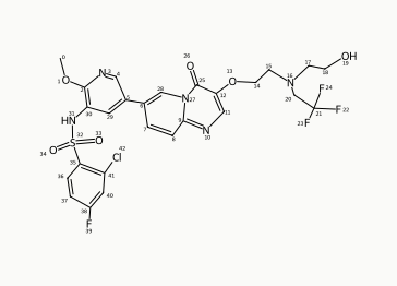 COc1ncc(-c2ccc3ncc(OCCN(CCO)CC(F)(F)F)c(=O)n3c2)cc1NS(=O)(=O)c1ccc(F)cc1Cl